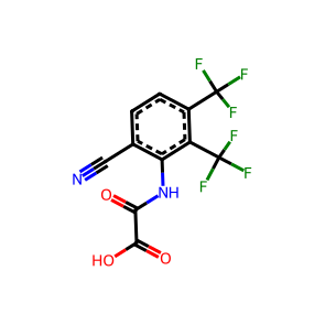 N#Cc1ccc(C(F)(F)F)c(C(F)(F)F)c1NC(=O)C(=O)O